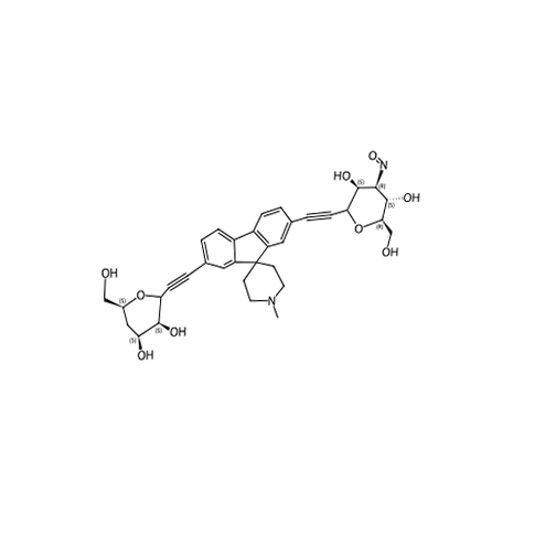 CN1CCC2(CC1)c1cc(C#CC3O[C@H](CO)[C@@H](O)[C@H](N=O)[C@@H]3O)ccc1-c1ccc(C#CC3O[C@H](CO)C[C@H](O)[C@@H]3O)cc12